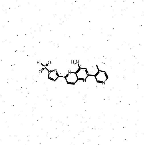 CCS(=O)(=O)n1c[c]c(-c2ccc3nc(-c4cnccc4C)cc(N)c3n2)n1